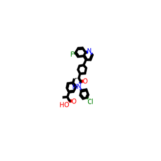 CC(C(=O)O)c1ccc(C[C@@H](C(=O)Nc2ccc(Cl)cc2)C2CCC(c3ccnc4ccc(F)cc34)CC2)cc1